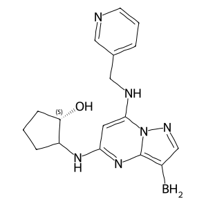 Bc1cnn2c(NCc3cccnc3)cc(NC3CCC[C@@H]3O)nc12